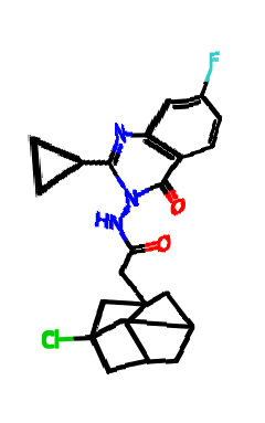 O=C(CC12CC3CC(CC(Cl)(C3)C1)C2)Nn1c(C2CC2)nc2cc(F)ccc2c1=O